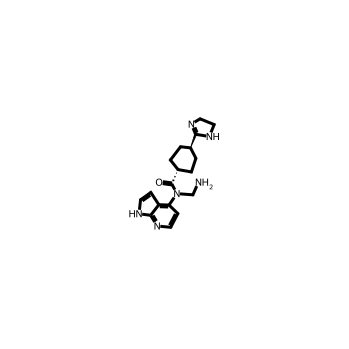 NCN(c1ccnc2[nH]ccc12)C(=O)[C@H]1CC[C@H](C2=NCCN2)CC1